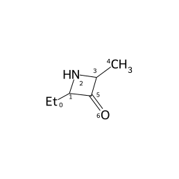 CCC1NC(C)C1=O